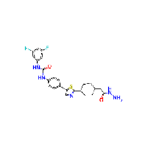 NNC(=O)CC1CCC(c2ncc(-c3ccc(NC(=O)Nc4cc(F)cc(F)c4)cc3)s2)CC1